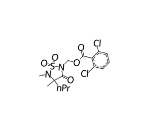 CCCC1(C)C(=O)N(COC(=O)c2c(Cl)cccc2Cl)S(=O)(=O)N1C